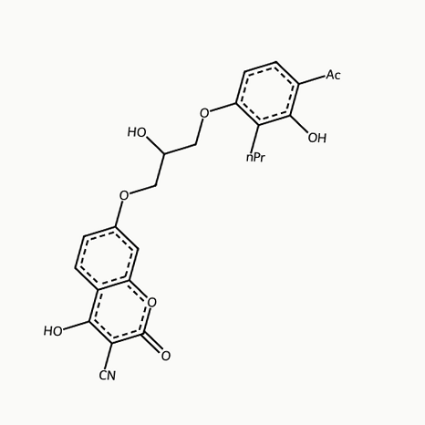 CCCc1c(OCC(O)COc2ccc3c(O)c(C#N)c(=O)oc3c2)ccc(C(C)=O)c1O